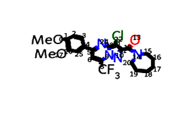 COc1ccc(-c2cc(C(F)(F)F)n3nc(C(=O)N4CCCCCC4)c(Cl)c3n2)cc1OC